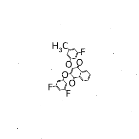 Cc1cc(F)cc(OC2=C(Oc3cc(F)cc(F)c3)C(=O)c3ccccc3C2=O)c1